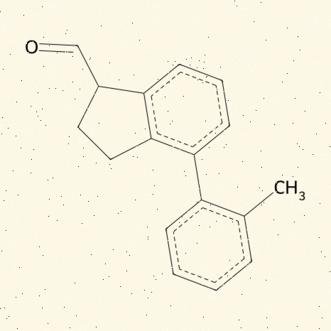 Cc1ccccc1-c1cccc2c1CCC2C=O